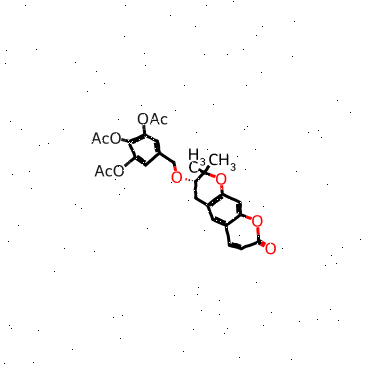 CC(=O)Oc1cc(CO[C@H]2Cc3cc4ccc(=O)oc4cc3OC2(C)C)cc(OC(C)=O)c1OC(C)=O